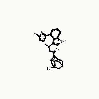 CC(CC(=O)N1CC2CC3CC1CC(O)(C3)C2)c1c[nH]c2cccc(-c3ccc(F)s3)c12